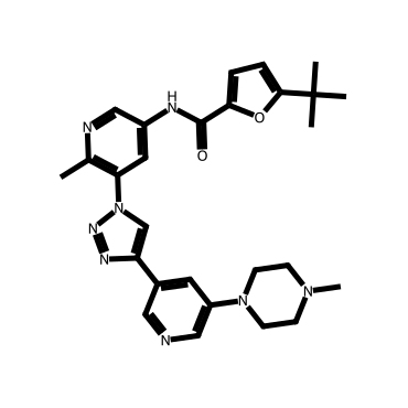 Cc1ncc(NC(=O)c2ccc(C(C)(C)C)o2)cc1-n1cc(-c2cncc(N3CCN(C)CC3)c2)nn1